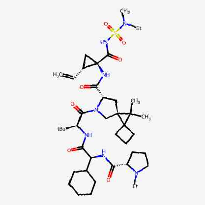 C=C[C@@H]1C[C@]1(NC(=O)[C@@H]1C[C@@]2(CN1C(=O)[C@@H](NC(=O)[C@@H](NC(=O)[C@@H]1CCCN1CC)C1CCCCC1)C(C)(C)C)C(C)(C)C21CCC1)C(=O)NS(=O)(=O)N(C)CC